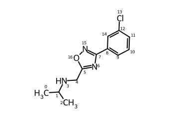 CC(C)NCc1nc(-c2cccc(Cl)c2)no1